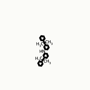 CC(C)(c1ccccc1)c1cccc(Nc2cccc(C(C)(C)c3ccccc3)c2)c1